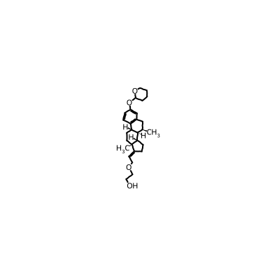 C[C@@H]1Cc2cc(OC3CCCCO3)ccc2[C@H]2CC[C@]3(C)/C(=C/COCCO)CC[C@H]3[C@H]12